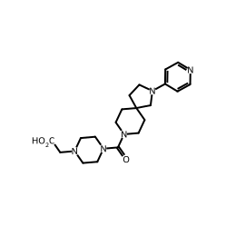 O=C(O)CN1CCN(C(=O)N2CCC3(CC2)CCN(c2ccncc2)C3)CC1